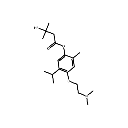 Cc1cc(OCCN(C)C)c(C(C)C)cc1OC(=O)CC(C)(C)S